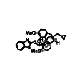 COc1ccc2c3c1O[C@H]1[C@@]4(OC)CC[C@@]5(C[C@@H]4CSc4nc6ccccc6s4)[C@@H](C2)N(CC2CC2)CC[C@]315